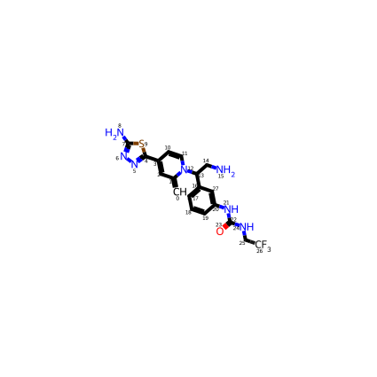 C=C1C=C(c2nnc(N)s2)C=CN1C(CN)c1cccc(NC(=O)NCC(F)(F)F)c1